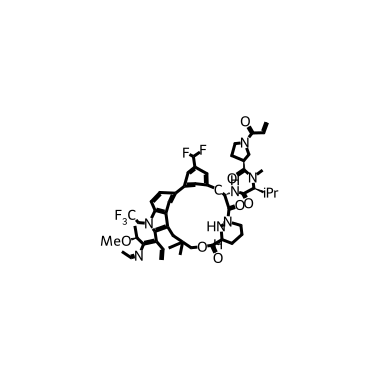 C=CC(=O)N1CC[C@H](C(=O)N(C)[C@H](C(=O)N[C@H]2Cc3cc(cc(C(F)F)c3)-c3ccc4c(c3)c(c(/C(C=C)=C(/N=C\C)[C@H](C)OC)n4CC(F)(F)F)CC(C)(C)COC(=O)[C@@H]3CCCN(N3)C2=O)C(C)C)C1